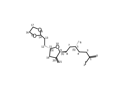 C=C(I)CC[C@@H](C)CC[C@@H]1O[C@@H](CCC2OCCO2)CC1=C